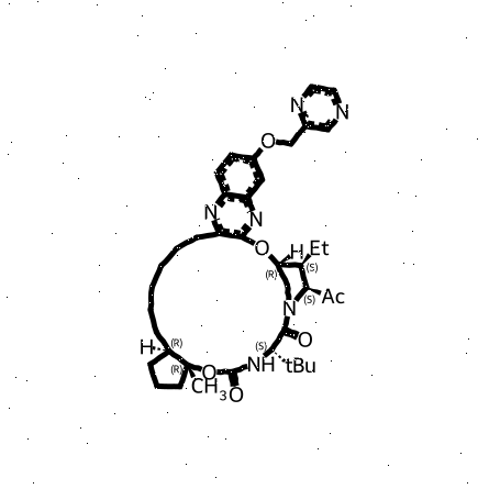 CC[C@@H]1[C@@H]2CN(C(=O)[C@H](C(C)(C)C)NC(=O)O[C@]3(C)CCC[C@H]3CCCCCCc3nc4ccc(OCc5cnccn5)cc4nc3O2)[C@@H]1C(C)=O